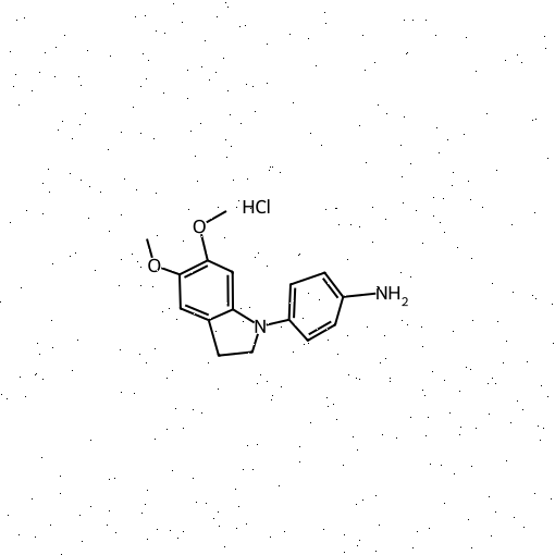 COc1cc2c(cc1OC)N(c1ccc(N)cc1)CC2.Cl